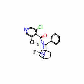 Cc1cncc(Cl)c1C(=O)NC(c1ccccc1)C12CCC(CC1)N2C(C)C